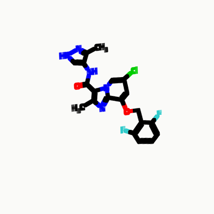 Cc1n[nH]cc1NC(=O)c1c(C)nc2c(OCc3c(F)cccc3F)cc(Cl)cn12